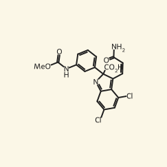 COC(=O)Nc1cccc(C2(C(=O)O)N=c3cc(Cl)cc(Cl)c3=C2/C=C\C(N)=O)c1